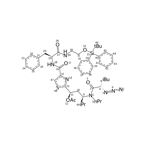 CCCN(C(=O)[C@@H](N=[N+]=[N-])[C@@H](C)CC)[C@H](C[C@@H](OC(C)=O)c1nc(C(=O)N[C@@H](Cc2ccccc2)C(=O)NCCO[Si](c2ccccc2)(c2ccccc2)C(C)(C)C)cs1)C(C)C